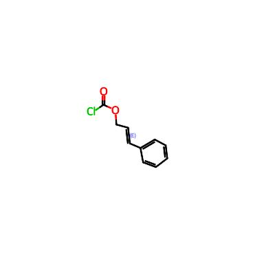 O=C(Cl)OC/C=C/c1ccccc1